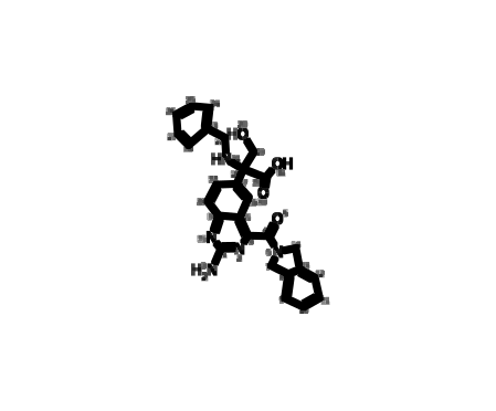 Nc1nc(C(=O)N2Cc3ccccc3C2)c2cc(C(CO)(NCc3ccccc3)C(=O)O)ccc2n1